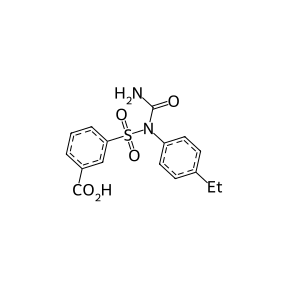 CCc1ccc(N(C(N)=O)S(=O)(=O)c2cccc(C(=O)O)c2)cc1